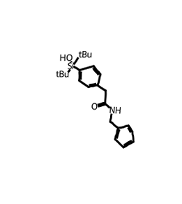 CC(C)(C)[Si](O)(c1ccc(CC(=O)NCc2ccccc2)cc1)C(C)(C)C